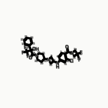 O=C(c1ccc(NC2CN(C3CCN(C(=O)C(O)(c4ccccc4)C(F)(F)F)CC3)C2)cc1Cl)N1CC(F)(F)C1